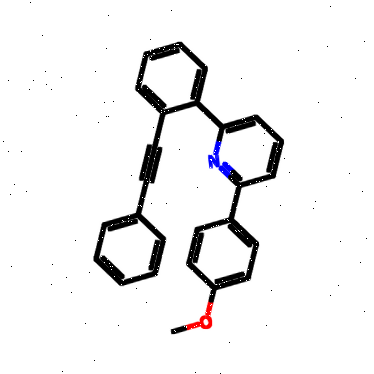 COc1ccc(-c2cccc(-c3ccccc3C#Cc3ccccc3)n2)cc1